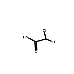 [NH]C(=O)C(Cl)Cl